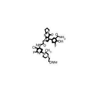 COCCN1CCN(c2cc(NC(=O)Cn3cc(-c4cc(F)c(O)c(C(N)=O)c4)c4c(=O)n5c(nc43)CCC5)c(Cl)c(F)n2)C(C)C1